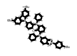 CC(C)(C)c1ccc(-n2nc3ccc(N(c4ccccc4)c4cccc(N(c5ccccc5)c5cccc(-n6c7ccc(C(C)(C)C)cc7c7cc(C(C)(C)C)ccc76)c5)c4Cl)cc3n2)cc1